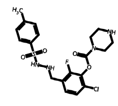 Cc1ccc(S(=O)(=O)NNCc2ccc(Cl)c(OC(=O)N3CCNCC3)c2F)cc1